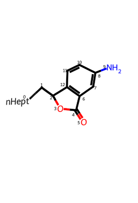 CCCCCCCCC1OC(=O)c2cc(N)ccc21